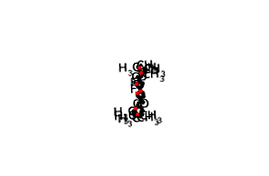 CN1C(C)(C)CCC(OC(=O)c2ccc(-c3ccc(C(=O)OC4CC(C)(C)NC4(C)C)c(F)c3F)cc2)CC1(C)C